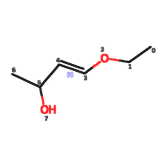 CCO/C=C/C(C)O